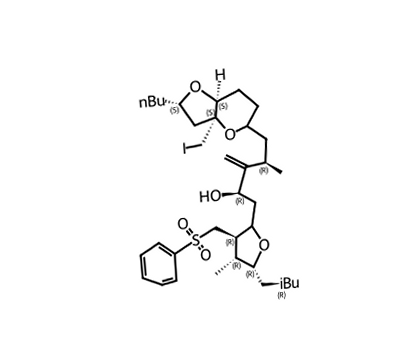 C=C([C@H](C)CC1CC[C@@H]2O[C@@H](CCCC)C[C@]2(CI)O1)[C@H](O)CC1O[C@H](C[C@H](C)CC)[C@H](C)[C@H]1CS(=O)(=O)c1ccccc1